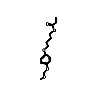 C=CC(=O)OCCCCOc1ccc(OCOC)cc1